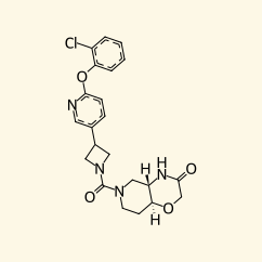 O=C1CO[C@H]2CCN(C(=O)N3CC(c4ccc(Oc5ccccc5Cl)nc4)C3)C[C@@H]2N1